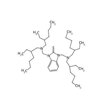 CCCCC(CC)CN(CC(CC)CCCC)Cn1c(=S)n(CN(CC(CC)CCCC)CC(CC)CCCC)c2ccccc21